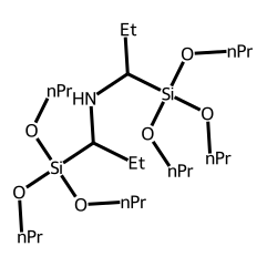 CCCO[Si](OCCC)(OCCC)C(CC)NC(CC)[Si](OCCC)(OCCC)OCCC